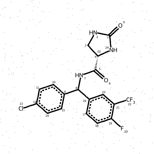 O=C1NC[C@@H](C(=O)NC(c2ccc(Cl)cc2)c2ccc(F)c(C(F)(F)F)c2)N1